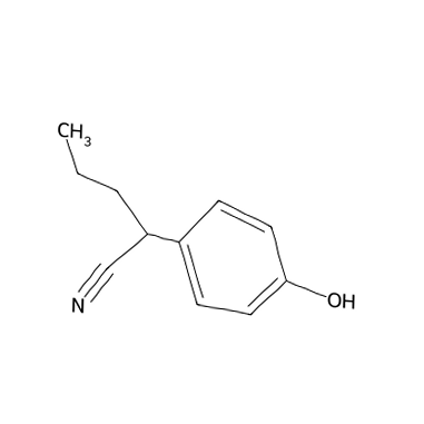 CCCC(C#N)c1ccc(O)cc1